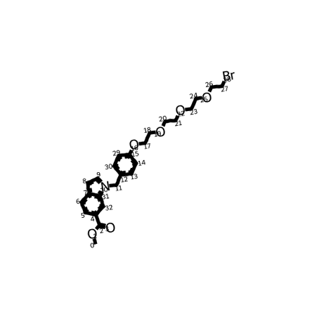 COC(=O)c1ccc2ccn(Cc3ccc(OCCOCCOCCOCCBr)cc3)c2c1